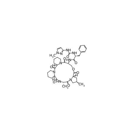 C[C@@H]1C[C@H]2C(=O)OC[C@H](NC(=O)[C@H](Cc3ccccc3)NC(=O)Nc3ccn(C)n3)C(=O)N3CCCC[C@H]3C(=O)N3CCCC[C@H]3C(=O)N[C@@H](C)C(=O)N2C1